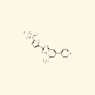 CS(=O)(=O)c1ccc(-c2nc3cc(-c4ccncc4)cc(N)n3n2)o1